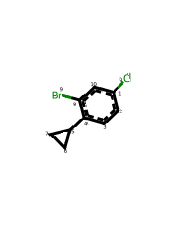 Clc1ccc(C2CC2)c(Br)c1